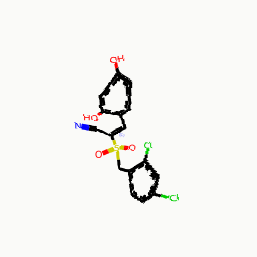 N#C/C(=C\c1ccc(O)cc1O)S(=O)(=O)Cc1ccc(Cl)cc1Cl